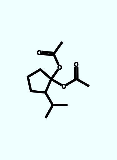 CC(=O)OC1(OC(C)=O)CCCC1C(C)C